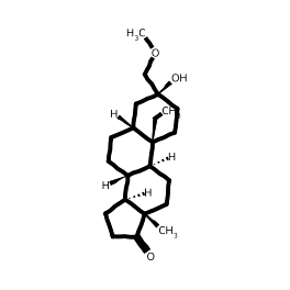 CC[C@]12CC[C@@](O)(COC)C[C@H]1CC[C@@H]1[C@@H]2CC[C@]2(C)C(=O)CC[C@@H]12